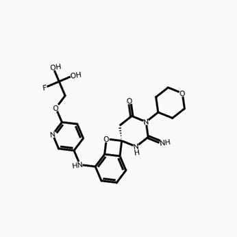 N=C1N[C@]2(CC(=O)N1C1CCOCC1)Oc1c(Nc3ccc(OCC(O)(O)F)nc3)cccc12